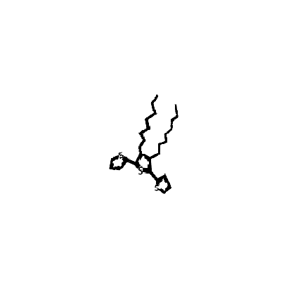 CCCCCCCCc1c(-c2cccs2)sc(-c2cccs2)c1CCCCCCCC